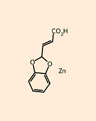 O=C(O)C=CC1Oc2ccccc2O1.[Zn]